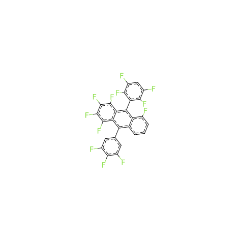 Fc1cc(-c2c3cccc(F)c3c(-c3c(F)c(F)cc(F)c3F)c3c(F)c(F)c(F)c(F)c23)cc(F)c1F